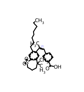 CCCCCCCCc1cc2c(cc1/C(C)=C\c1ccc(C(=O)O)cc1)C(C)(C)CCCS2(=O)=O